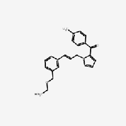 Cc1ccc(C(=O)c2cccn2C/C=C/c2cccc(COCC(=O)O)c2)cc1